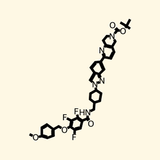 COc1ccc(COc2c(F)cc(C(=O)NCC3CCC(n4cc5ccc(-c6ccc7c(n6)CCN(C(=O)OC(C)(C)C)C7)cc5n4)CC3)c(F)c2F)cc1